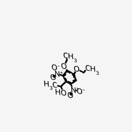 CCOc1cc([N+](=O)[O-])c(C(C)O)c([N+](=O)[O-])c1OCC